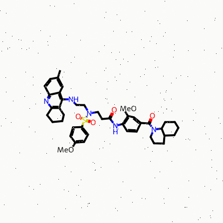 COc1ccc(S(=O)(=O)N(CCNc2c3c(nc4ccc(C)cc24)CCCC3)CCC(=O)Nc2ccc(C(=O)N3CCCC4CCCCC43)cc2OC)cc1